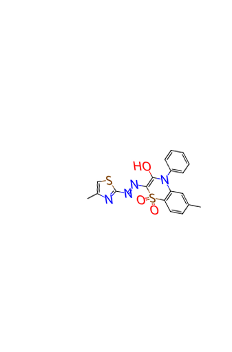 Cc1ccc2c(c1)N(c1ccccc1)C(O)=C(N=Nc1nc(C)cs1)S2(=O)=O